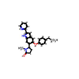 CN1C(=O)CCC1c1cc2[nH]c(-c3ccccn3)cc2cc1Oc1ccc(CC(=O)O)cc1